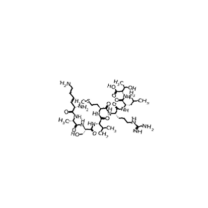 CSCC[C@H](NC(=O)[C@@H](NC(=O)[C@H](CO)NC(=O)[C@H](C)NC(=O)[C@@H](N)CCCCN)C(C)C)C(=O)N[C@@H](CCCNC(=N)N)C(=O)N[C@@H](CC(C)C)C(=O)N[C@H](C(=O)O)[C@@H](C)O